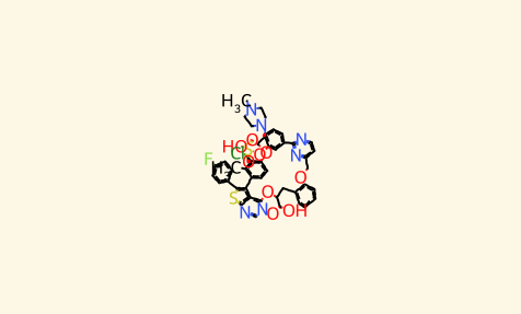 Cc1c(-c2c(-c3ccc(F)cc3)sc3ncnc(OC(Cc4ccccc4OCc4ccnc(-c5cccc(OS(=O)(=O)O)c5)n4)C(=O)O)c23)ccc(OCCN2CCN(C)CC2)c1Cl